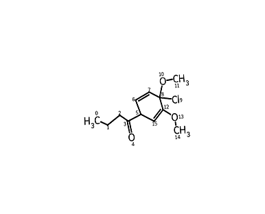 CCCC(=O)C1C=CC(Cl)(OC)C(OC)=C1